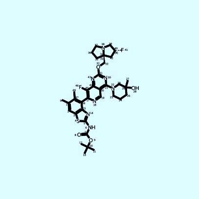 Cc1cc2sc(NC(=O)OC(C)(C)C)nc2c(-c2ncc3c(N4CCCC(C)(O)C4)nc(OC[C@@]45CCCN4C[C@H](F)C5)nc3c2F)c1C